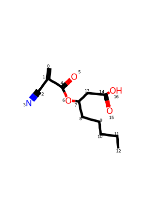 C=C(C#N)C(=O)OC(CCCCC)CC(=O)O